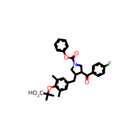 Cc1cc(CC2CN(C(=O)Oc3ccccc3)CC2C(=O)c2ccc(F)cc2)cc(C)c1OC(C)(C)C(=O)O